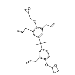 C=CCc1cc(C(C)(C)c2cc(CC=C)c(OCC3CO3)c(CC=C)c2)ccc1OC1CCO1